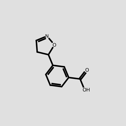 O=C(O)c1cccc(C2CC=NO2)c1